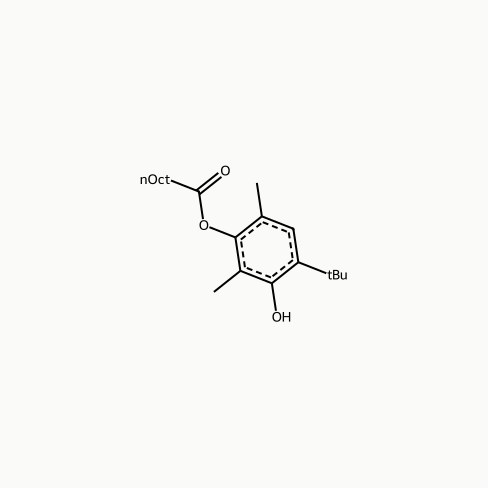 CCCCCCCCC(=O)Oc1c(C)cc(C(C)(C)C)c(O)c1C